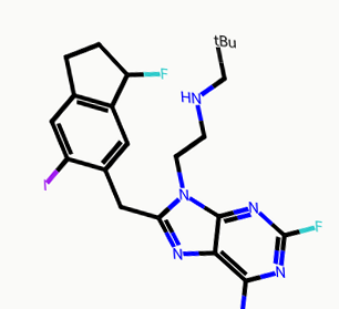 CC(C)(C)CNCCn1c(Cc2cc3c(cc2I)CCC3F)nc2c(N)nc(F)nc21